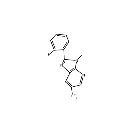 Cn1c(-c2ccccc2F)nc2cc(C(F)(F)F)cnc21